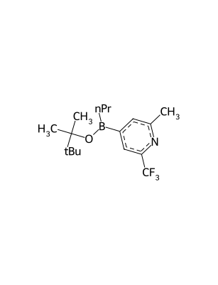 CCCB(OC(C)(C)C(C)(C)C)c1cc(C)nc(C(F)(F)F)c1